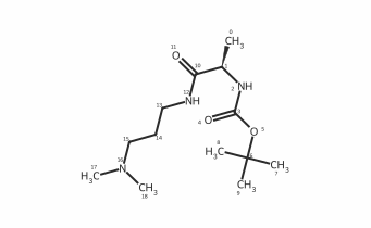 C[C@@H](NC(=O)OC(C)(C)C)C(=O)NCCCN(C)C